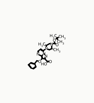 C[C@@H]1CN(c2ccnc3c(OCc4ccccc4)c(C(=O)O)nn23)[C@@H](C)CN1C(=O)OC(C)(C)C